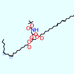 CCCCCC=CCC=CCCCCCCCC(=O)OCC(COC(=O)CCCCCCC/C=C\C/C=C\CCCCC)OC(=O)CNC(=O)OC(C)(C)C